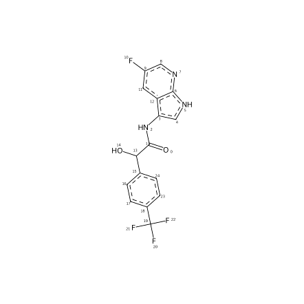 O=C(Nc1c[nH]c2ncc(F)cc12)C(O)c1ccc(C(F)(F)F)cc1